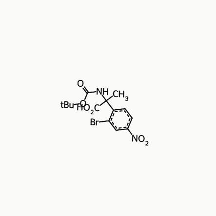 CC(C)(C)OC(=O)NC(C)(C(=O)O)c1ccc([N+](=O)[O-])cc1Br